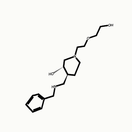 OCCOCCN1CC[C@@H](CNCc2ccccc2)[C@H](O)C1